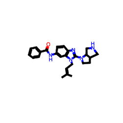 CC(C)=CCn1c(N2CCC3CNCC32)nc2ccc(NC(=O)c3ccccc3)cc21